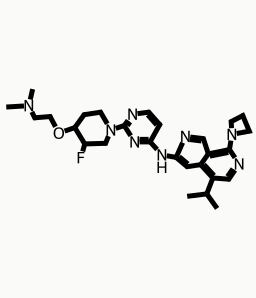 CC(C)c1cnc(N2CCC2)c2cnc(Nc3ccnc(N4CCC(OCCN(C)C)C(F)C4)n3)cc12